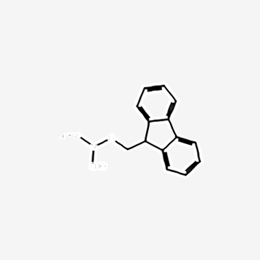 CCCCCN(C=O)OCC1c2ccccc2-c2ccccc21